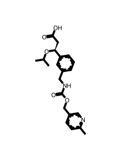 Cc1ccc(COC(=O)NCc2cccc([C@H](CC(=O)O)OC(C)C)c2)cn1